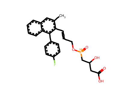 Cc1cc2ccccc2c(-c2ccc(F)cc2)c1/C=C/CO[PH](=O)CC(O)CC(=O)O